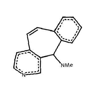 CNC1c2ccccc2C=Cc2ccncc21